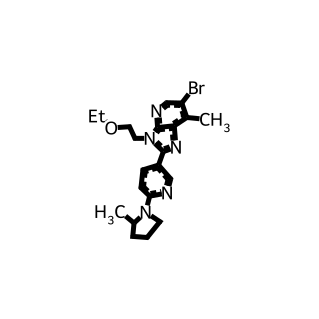 CCOCCn1c(-c2ccc(N3CCCC3C)nc2)nc2c(C)c(Br)cnc21